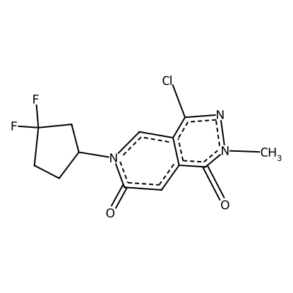 Cn1nc(Cl)c2cn(C3CCC(F)(F)C3)c(=O)cc2c1=O